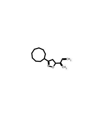 C=CC(=C)C1CC(C2CCCCCCCC2)=NO1